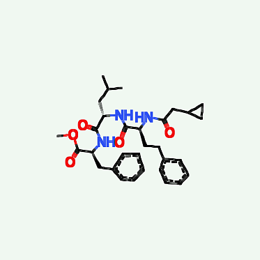 COC(=O)[C@H](Cc1ccccc1)NC(=O)[C@H](CC(C)C)NC(=O)[C@H](CCc1ccccc1)NC(=O)CC1CC1